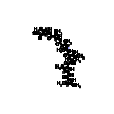 C=CN(C)C(NC(C)NC(=O)C1NC(NC(=O)C2NC(N)=CN2C)=CN1C)C(=O)N/C(C)=C/N(C)C(=C)C(=O)Nc1cc(C(=O)Nc2cc(C(=O)C(C)(C)C)n(C)c2)n(C)c1